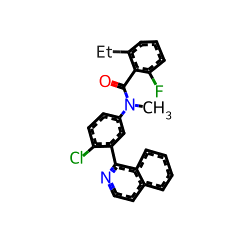 CCc1cccc(F)c1C(=O)N(C)c1ccc(Cl)c(-c2nccc3ccccc23)c1